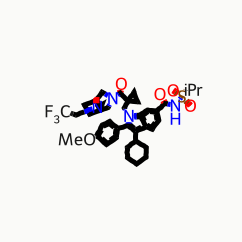 COc1ccc(-c2c(C3CCCCC3)c3ccc(C(=O)NS(=O)(=O)C(C)C)cc3n2CC2(C(=O)N3CC45CCC4(CN(CC(F)(F)F)C5)C3)CC2)cc1